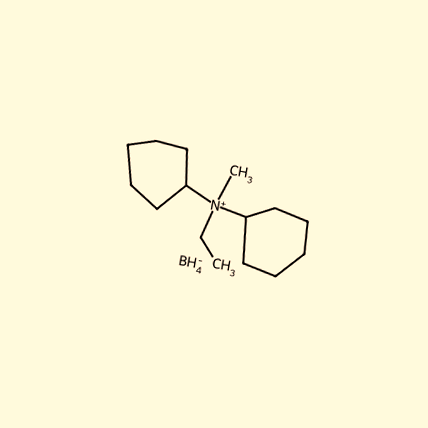 CC[N+](C)(C1CCCCC1)C1CCCCC1.[BH4-]